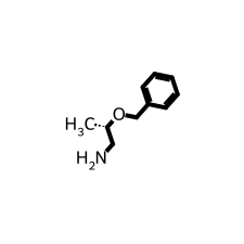 C[C@@H](CN)OCc1ccccc1